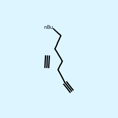 C#C.C#CCCCCCCCC